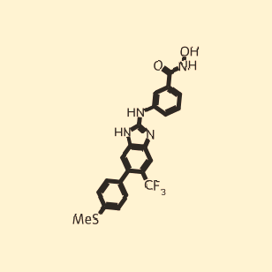 CSc1ccc(-c2cc3[nH]c(Nc4cccc(C(=O)NO)c4)nc3cc2C(F)(F)F)cc1